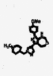 COc1ncc(-n2nc(-c3cnn(CC4CCN(C)CC4)c3)c3c2NCOCC3)cn1